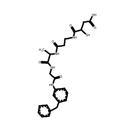 CC(NC(=O)CCNC(=O)C(S)CC(=O)O)C(=O)NCC(=O)Nc1cccc(Cc2ccccc2)c1